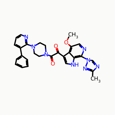 COc1cnc(-n2cnc(C)n2)c2[nH]cc(C(=O)C(=O)N3CCN(c4ncccc4-c4ccccc4)CC3)c12